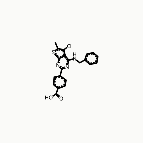 Cc1sc2nc(-c3ccc(C(=O)O)cc3)nc(NCc3ccccc3)c2c1Cl